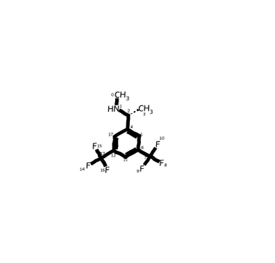 CN[C@H](C)c1cc(C(F)(F)F)cc(C(F)(F)F)c1